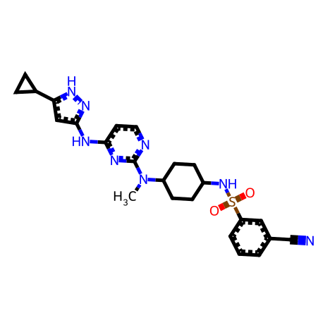 CN(c1nccc(Nc2cc(C3CC3)[nH]n2)n1)C1CCC(NS(=O)(=O)c2cccc(C#N)c2)CC1